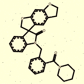 O=C(c1ccccc1CN1C(=O)C2(COc3cc4c(cc32)CCO4)c2ccccc21)N1CCCCC1